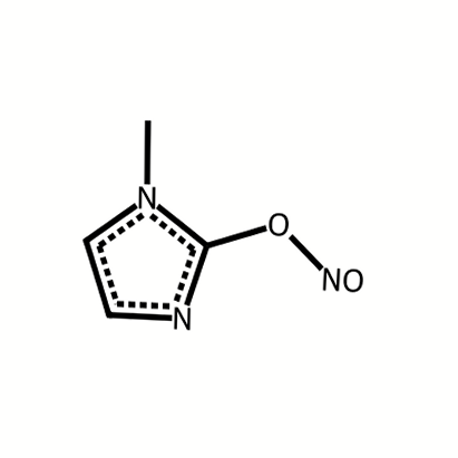 Cn1ccnc1ON=O